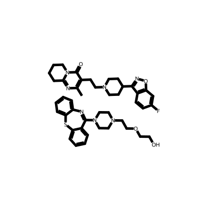 Cc1nc2n(c(=O)c1CCN1CCC(c3noc4cc(F)ccc34)CC1)CCCC2.OCCOCCN1CCN(C2=Nc3ccccc3Sc3ccccc32)CC1